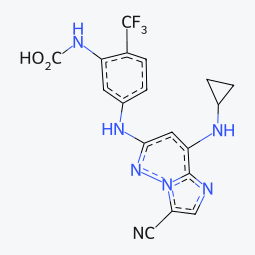 N#Cc1cnc2c(NC3CC3)cc(Nc3ccc(C(F)(F)F)c(NC(=O)O)c3)nn12